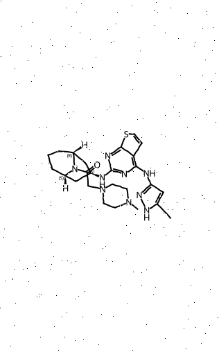 Cc1cc(Nc2nc(N[C@@H]3C[C@H]4CCC[C@@H](C3)N4C(=O)CN3CCN(C)CC3)nc3sccc23)n[nH]1